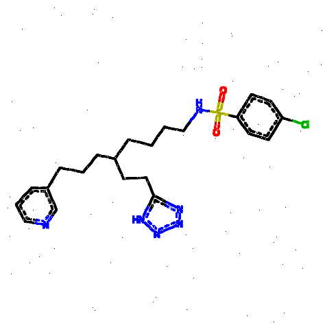 O=S(=O)(NCCCCC(CCCc1cccnc1)CCc1nnn[nH]1)c1ccc(Cl)cc1